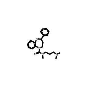 CN(C)CCCN(C)C(=O)N1CCC(c2ccccc2)Sc2ccccc21